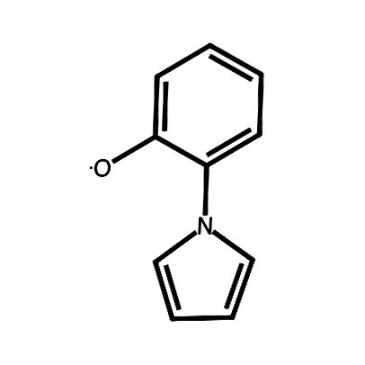 [O]c1ccccc1-n1cccc1